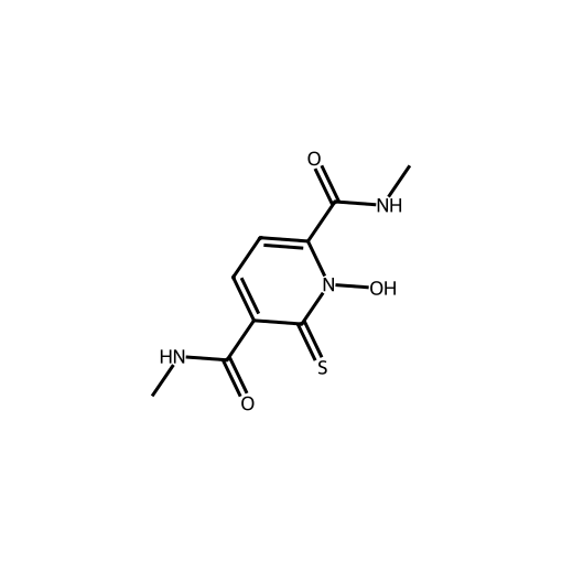 CNC(=O)c1ccc(C(=O)NC)n(O)c1=S